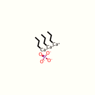 CC[CH2][Ca+].CC[CH2][Ca+].CC[CH2][Ca+].O=P([O-])([O-])[O-]